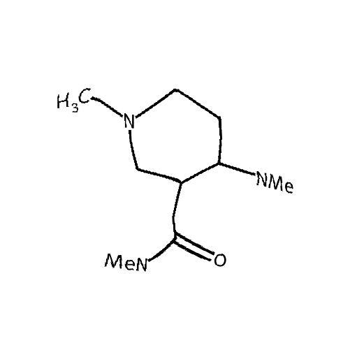 CNC(=O)C1CN(C)CCC1NC